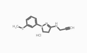 C#CCNC1=NN(c2cccc(SC)c2)CC1.Cl